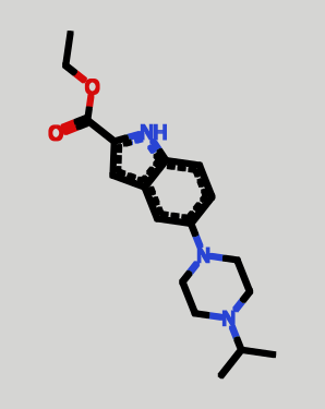 CCOC(=O)c1cc2cc(N3CCN(C(C)C)CC3)ccc2[nH]1